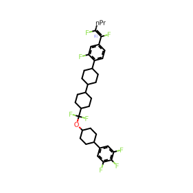 CCC/C(F)=C(\F)c1ccc(C2CCC(C3CCC(C(F)(F)OC4CCC(c5cc(F)c(F)c(F)c5)CC4)CC3)CC2)c(F)c1